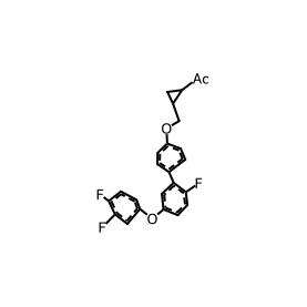 CC(=O)C1CC1COc1ccc(-c2cc(Oc3ccc(F)c(F)c3)ccc2F)cc1